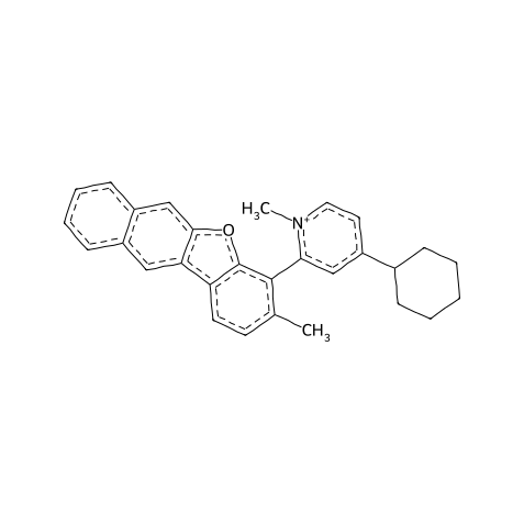 Cc1ccc2c(oc3cc4ccccc4cc32)c1-c1cc(C2CCCCC2)cc[n+]1C